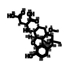 CO[C@@]12CC[C@@H](N[C@@H](CC(=O)O)C(=O)O)[C@@H]3Oc4c(O)ccc5c4[C@@]31CCN(C)C2C5